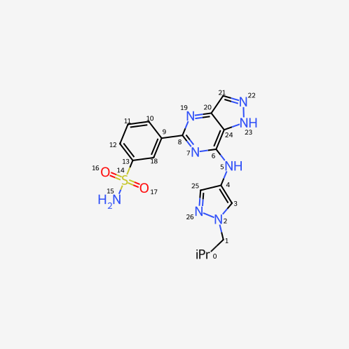 CC(C)Cn1cc(Nc2nc(-c3cccc(S(N)(=O)=O)c3)nc3cn[nH]c23)cn1